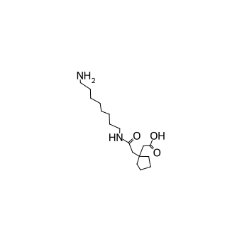 NCCCCCCCCNC(=O)CC1(CC(=O)O)CCCC1